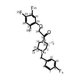 C[C@@H]1CN(Cc2ccc(F)cc2)[C@@H](C)CN1C(=O)COc1cc(F)c(F)cc1F